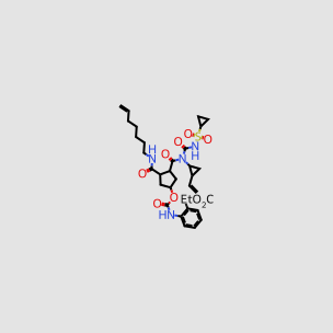 C=CCCCCCNC(=O)C1CC(OC(=O)Nc2ccccc2C(=O)OCC)CC1C(=O)N(C(=O)NS(=O)(=O)C1CC1)C1CC1C=C